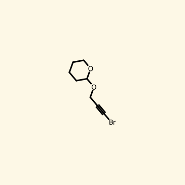 BrC#CCOC1CCCCO1